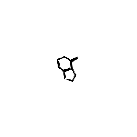 O=C1CC=CC2=C1CCS2